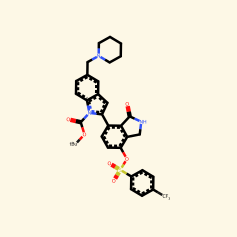 CC(C)(C)OC(=O)n1c(-c2ccc(OS(=O)(=O)c3ccc(C(F)(F)F)cc3)c3c2C(=O)NC3)cc2cc(CN3CCCCC3)ccc21